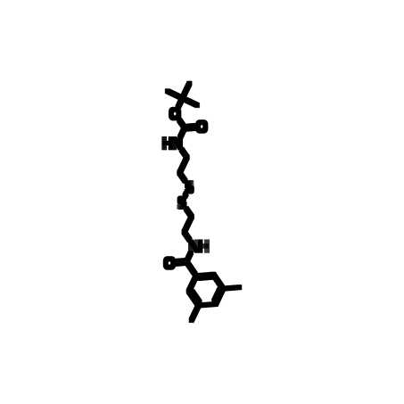 Cc1cc(C)cc(C(=O)NCCSSCCNC(=O)OC(C)(C)C)c1